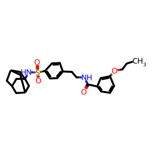 CCCOc1cccc(C(=O)NCCc2ccc(S(=O)(=O)NC34CC5CC(CC(C5)C3)C4)cc2)c1